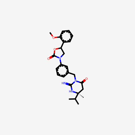 COc1ccccc1C1CN(c2cccc(CN3C(=N)N[C@](C)(C(C)C)CC3=O)c2)C(=O)O1